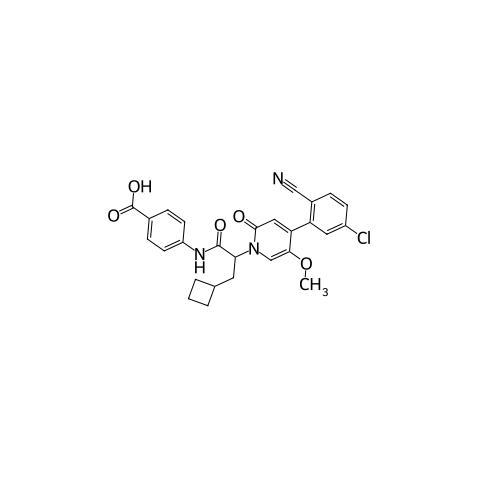 COc1cn(C(CC2CCC2)C(=O)Nc2ccc(C(=O)O)cc2)c(=O)cc1-c1cc(Cl)ccc1C#N